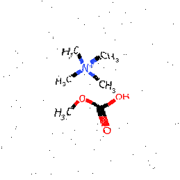 COC(=O)O.C[N+](C)(C)C